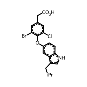 CC(C)Cc1c[nH]c2ccc(Oc3c(Cl)cc(CC(=O)O)cc3Br)cc12